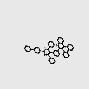 c1ccc(-c2ccc(-c3nc(-c4ccccc4)c(-c4cccc(-c5nc6ccccc6c6c7ccccc7c7ccccc7c56)c4)c(-c4ccccc4)n3)cc2)cc1